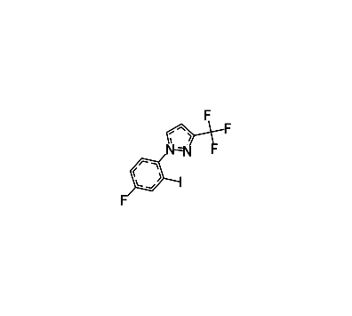 Fc1ccc(-n2ccc(C(F)(F)F)n2)c(I)c1